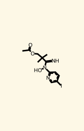 CC(=O)OCC(C)(C)C(=N)N(O)c1ccc(I)cn1